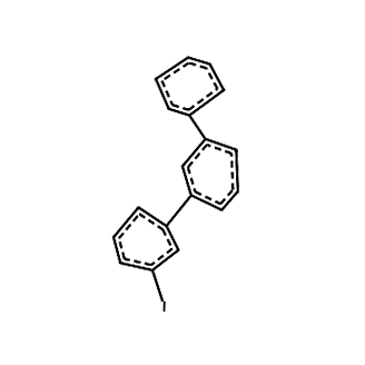 Ic1cccc(-c2cccc(-c3ccccc3)c2)c1